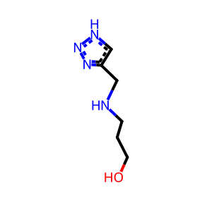 OCCCNCc1c[nH]nn1